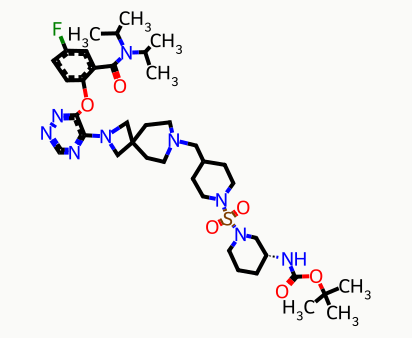 CC(C)N(C(=O)c1cc(F)ccc1Oc1nncnc1N1CC2(CCN(CC3CCN(S(=O)(=O)N4CCC[C@@H](NC(=O)OC(C)(C)C)C4)CC3)CC2)C1)C(C)C